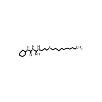 CCCCCCCCCCSCCCNC(=N)NC(=O)NC1CCCCC1